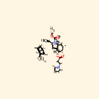 C#CC1C[C@H]2[C@@H](OC(=O)CCN3CCCC3)CCC[C@H]2N1C(=O)OC.Cc1cc2ccc1-2